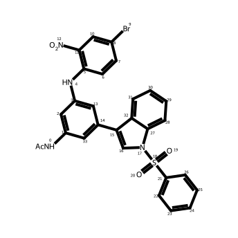 CC(=O)Nc1cc(Nc2ccc(Br)cc2[N+](=O)[O-])cc(-c2cn(S(=O)(=O)c3ccccc3)c3ccccc23)c1